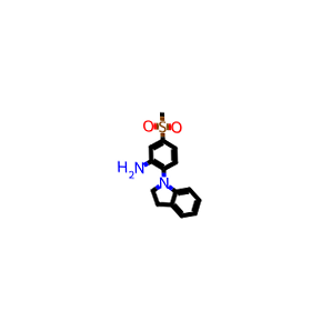 CS(=O)(=O)c1ccc(N2CCc3ccccc32)c(N)c1